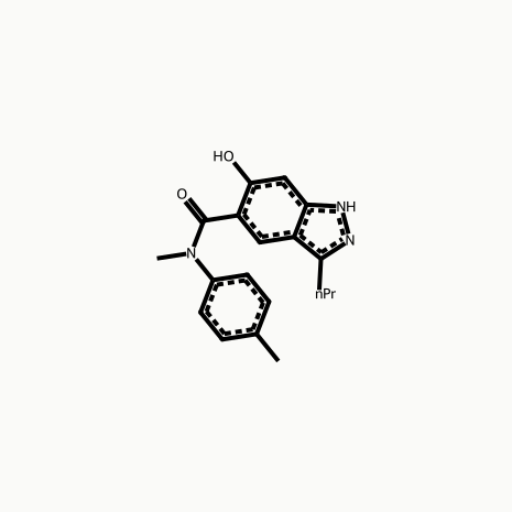 CCCc1n[nH]c2cc(O)c(C(=O)N(C)c3ccc(C)cc3)cc12